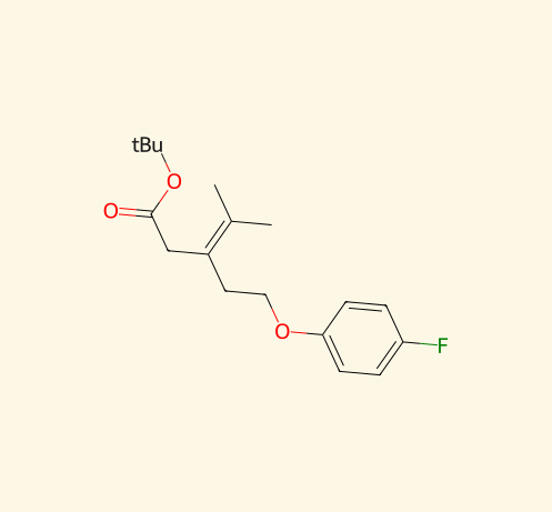 CC(C)=C(CCOc1ccc(F)cc1)CC(=O)OC(C)(C)C